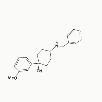 COc1cccc(C2(C#N)CCC(NCc3ccccc3)CC2)c1